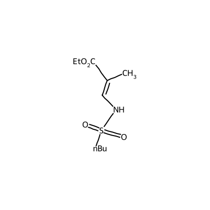 CCCCS(=O)(=O)NC=C(C)C(=O)OCC